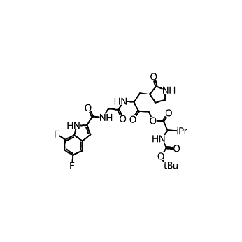 CC(C)C(NC(=O)OC(C)(C)C)C(=O)OCC(=O)C(C[C@@H]1CCNC1=O)NC(=O)CNC(=O)c1cc2cc(F)cc(F)c2[nH]1